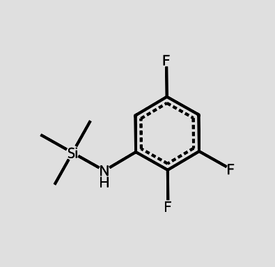 C[Si](C)(C)Nc1cc(F)cc(F)c1F